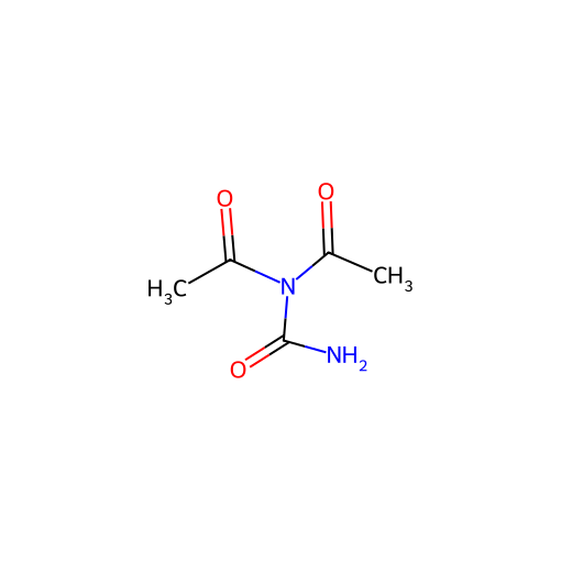 CC(=O)N(C(C)=O)C(N)=O